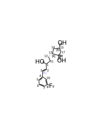 OC(/C=C/c1cccc(F)c1)CC[C@@H]1C[C@@H](O)C[C@H]1O